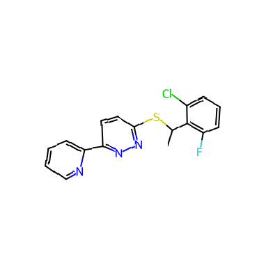 CC(Sc1ccc(-c2ccccn2)nn1)c1c(F)cccc1Cl